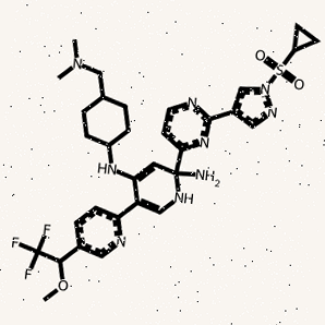 COC(c1ccc(C2=CNC(N)(c3ccnc(-c4cnn(S(=O)(=O)C5CC5)c4)n3)C=C2NC2CCC(CN(C)C)CC2)nc1)C(F)(F)F